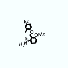 COc1cccc(N(C)N)c1COc1ccc(C(C)=O)cc1C